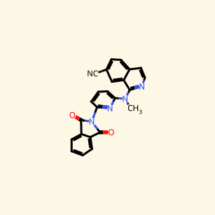 CN(c1cccc(N2C(=O)c3ccccc3C2=O)n1)c1nccc2ccc(C#N)cc12